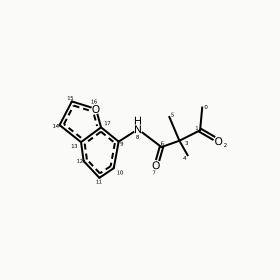 CC(=O)C(C)(C)C(=O)Nc1cccc2ccoc12